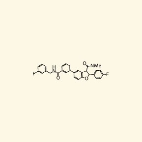 CNC(=O)C1c2cc(-c3cccc(C(=O)NCc4cccc(F)c4)c3)ccc2OC1c1ccc(F)cc1